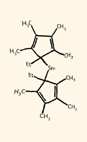 CC[C]1([Sn][C]2(CC)C(C)=C(C)C(C)=C2C)C(C)=C(C)C(C)=C1C